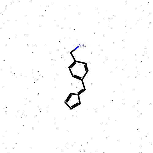 NCc1ccc(C=C2C=CC=C2)cc1